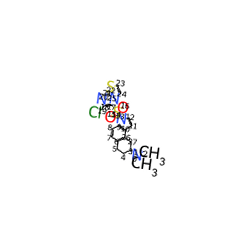 CN(C)C1CCc2ccc3c(ccn3S(=O)(=O)c3c(Cl)nc4sccn34)c2C1